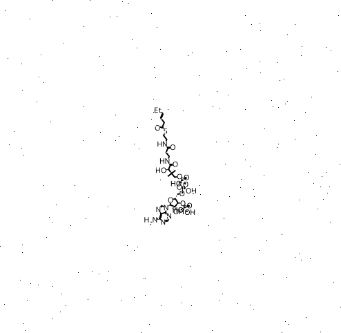 CCC=CCC(=O)SCCNC(=O)CCNC(=O)[C@H](O)C(C)(C)COP(=O)(O)OP(=O)(O)OC[C@H]1O[C@@H](n2cnc3c(N)ncnc32)[C@H](O)[C@@H]1OP(=O)(O)O